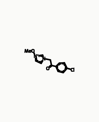 CO[n+]1ccn(CC(=O)c2ccc(Cl)cc2)c1